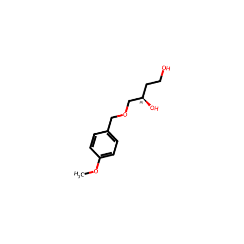 COc1ccc(COC[C@H](O)CCO)cc1